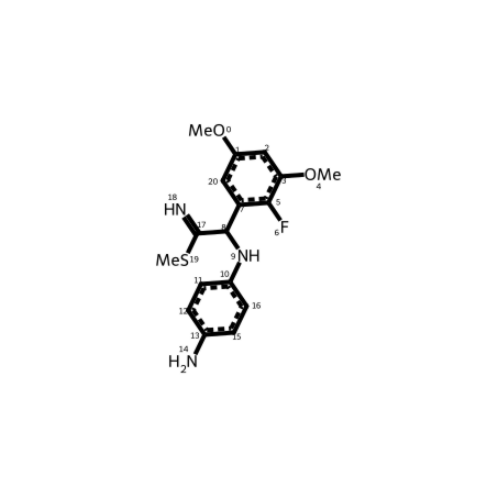 COc1cc(OC)c(F)c(C(Nc2ccc(N)cc2)C(=N)SC)c1